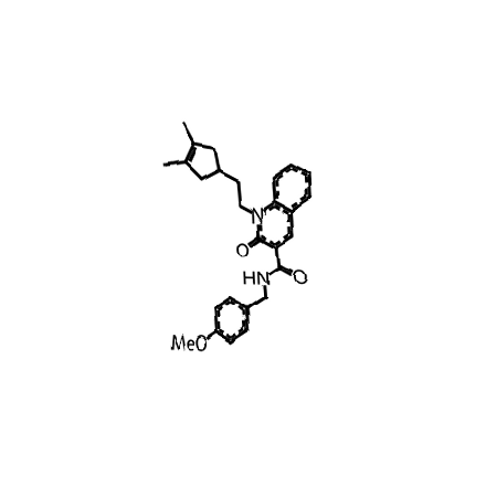 COc1ccc(CNC(=O)c2cc3ccccc3n(CCC3CC(C)=C(C)C3)c2=O)cc1